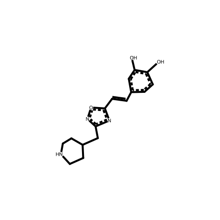 Oc1ccc(C=Cc2nc(CC3CCNCC3)no2)cc1O